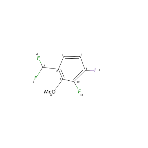 COc1c(C(F)F)ccc(I)c1F